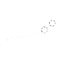 OCCCCCCCCOCc1ccc(-c2ccccc2)cc1